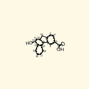 O=C(O)c1ccc2c(c1)-c1c(cc(O)c3ccccc13)C2